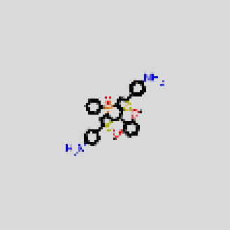 COc1cccc(OC)c1C1c2sc(-c3ccc(N)cc3)cc2P(=O)(c2ccccc2)c2cc(-c3ccc(N)cc3)sc21